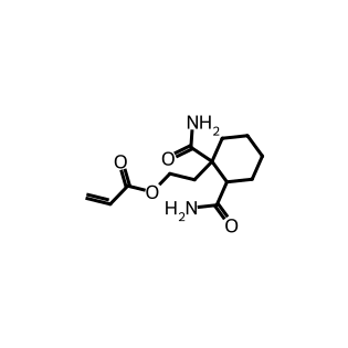 C=CC(=O)OCCC1(C(N)=O)CCCCC1C(N)=O